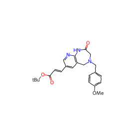 COc1ccc(CN2CC(=O)Nc3ncc(/C=C/C(=O)OC(C)(C)C)cc3C2)cc1